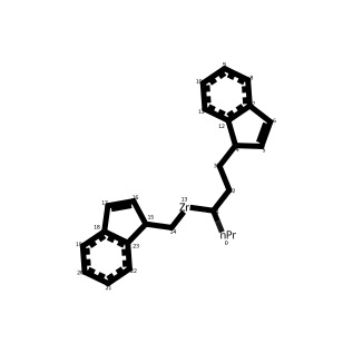 CCC[CH](CCC1C=Cc2ccccc21)[Zr][CH2]C1C=Cc2ccccc21